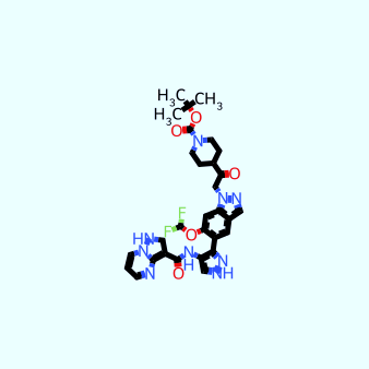 CC(C)(C)OC(=O)N1CCC(C(=O)Cn2ncc3cc(-c4n[nH]cc4NC(=O)C4=C5N=CC=CN5NC4)c(OC(F)F)cc32)CC1